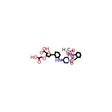 CS(=O)(=O)Nc1ccccc1CS(=O)(=O)N1CCC(Nc2cccc(-c3cc(OCC(=O)O)c(C(=O)O)s3)c2)CC1